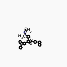 C=N/C=C\C=C(/C)c1cccc(-c2cc(-c3ccc4c(c3)c3ccccc3n4-c3ccccc3)cc3oc(-c4ccc(-c5cccc6ccccc56)cc4)nc23)c1